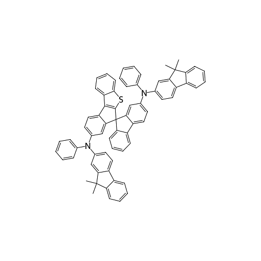 CC1(C)c2ccccc2-c2ccc(N(c3ccccc3)c3ccc4c(c3)C3(c5ccccc5-4)c4cc(N(c5ccccc5)c5ccc6c(c5)C(C)(C)c5ccccc5-6)ccc4-c4c3sc3ccccc43)cc21